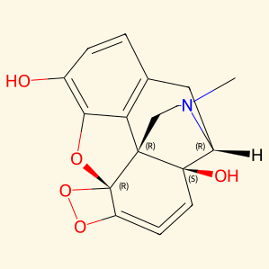 CN1CC[C@]23c4c5ccc(O)c4O[C@@]24OOC4=C=C[C@@]3(O)[C@H]1C5